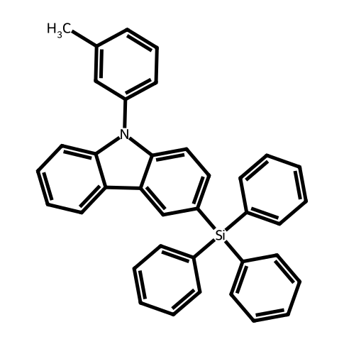 Cc1cccc(-n2c3ccccc3c3cc([Si](c4ccccc4)(c4ccccc4)c4ccccc4)ccc32)c1